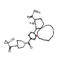 CNC(=O)C1CCC2(CCCCCCCCCC2)C(c2ccc(C(=O)N3CCN(C(=O)C4(O)CC4)CC3)cc2)N1